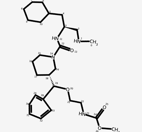 CNC[C@H](CC1CCCCC1)NC(=O)N1CCC[C@@H](C(OCCNC(=O)OC)c2ccccc2)C1